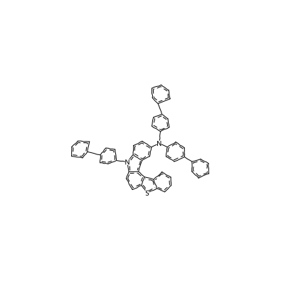 c1ccc(-c2ccc(N(c3ccc(-c4ccccc4)cc3)c3ccc4c(c3)c3c5c(ccc3n4-c3ccc(-c4ccccc4)cc3)sc3ccccc35)cc2)cc1